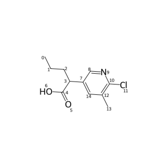 CCCC(C(=O)O)c1cnc(Cl)c(C)c1